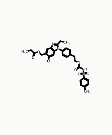 CCC(=O)OCc1cc2nc(CC)n(-c3ccc(CCOC(=O)NS(=O)(=O)c4ccc(C)cc4)cc3)c2cc1Cl